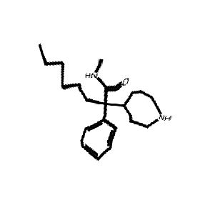 CCCCCCC(C(=O)NC)(c1ccccc1)C1CCNCC1